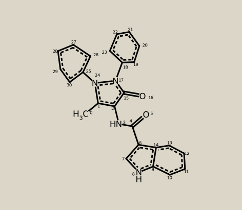 Cc1c(NC(=O)c2c[nH]c3ccccc23)c(=O)n(-c2ccccc2)n1-c1ccccc1